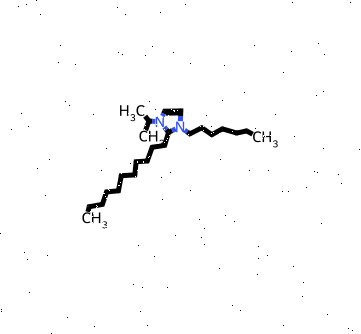 CCCCCCCCCCCC1N(CCCCCCC)C=CN1C(C)C